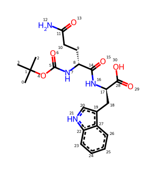 CC(C)(C)OC(=O)N[C@H](CCC(N)=O)C(=O)N[C@H](Cc1c[nH]c2ccccc12)C(=O)O